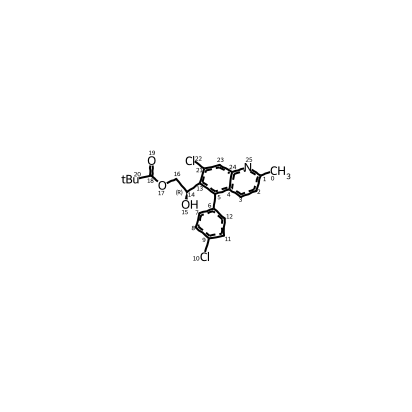 Cc1ccc2c(-c3ccc(Cl)cc3)c([C@@H](O)COC(=O)C(C)(C)C)c(Cl)cc2n1